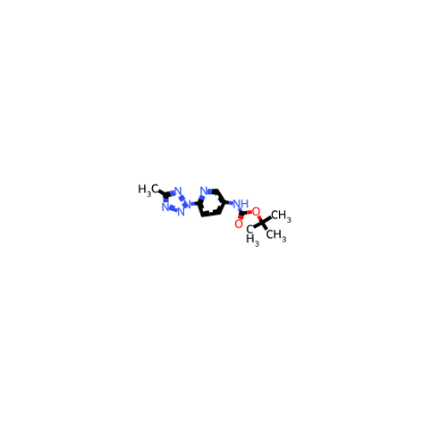 Cc1nnn(-c2ccc(NC(=O)OC(C)(C)C)cn2)n1